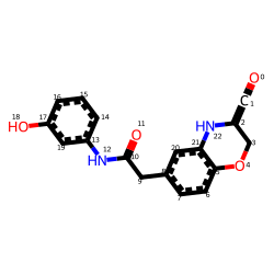 O=C=C1COc2ccc(CC(=O)Nc3cccc(O)c3)cc2N1